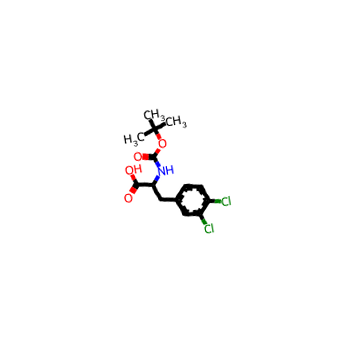 CC(C)(C)OC(=O)NC(Cc1ccc(Cl)c(Cl)c1)C(=O)O